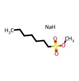 CCCCCCCS(=O)(=O)OC.[NaH]